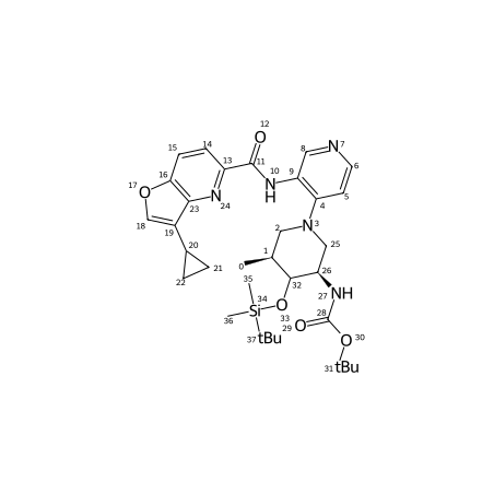 C[C@H]1CN(c2ccncc2NC(=O)c2ccc3occ(C4CC4)c3n2)C[C@@H](NC(=O)OC(C)(C)C)C1O[Si](C)(C)C(C)(C)C